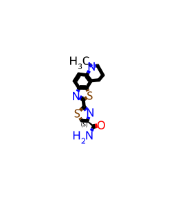 CN1CCCc2c1ccc1nc(C3=N[C@@H](C(N)=O)CS3)sc21